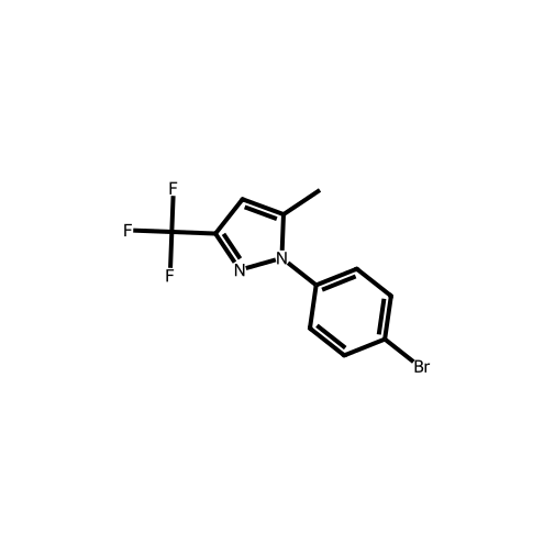 Cc1cc(C(F)(F)F)nn1-c1ccc(Br)cc1